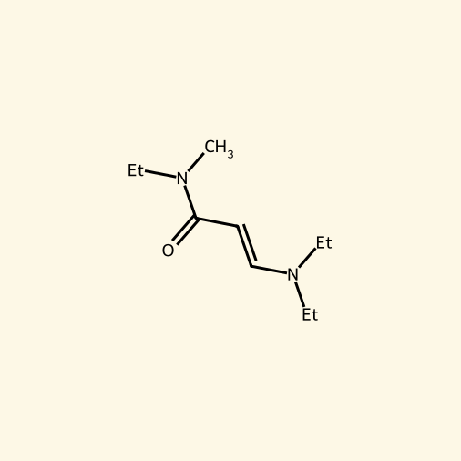 CCN(C=CC(=O)N(C)CC)CC